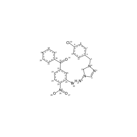 NN1C=NN(Cc2ccc(Cl)cc2)C1.O=C(c1ccccc1)c1ccc([N+](=O)[O-])c(Br)c1